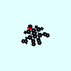 CC1CC(C(C)c2cc(C3CC4CC3C3CCCC43)cc(N(c3cc(C(C)(C)C)cc(C(C)(C)C)c3)c3c4ccccc4c(N(c4cc(C5CC6CC5C5CCCC65)cc(C5CC6CC5C5CCCC65)c4)c4cc(C(C)(C)C)cc(C(C)(C)C)c4)c4ccc(-c5ccccc5)cc34)c2)C2CCCC12